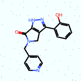 O=C1c2[nH]nc(-c3ccccc3O)c2CN1Cc1ccncc1